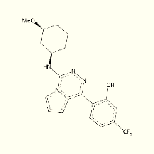 CO[C@H]1CCC[C@@H](Nc2nnc(-c3ccc(C(F)(F)F)cc3O)c3cccn23)C1